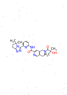 CC(C)(O)C(=O)N1CCc2cnc(C(=O)Nc3cccc(-c4nnc5n4C(C)(C)CC5)n3)cc2C1